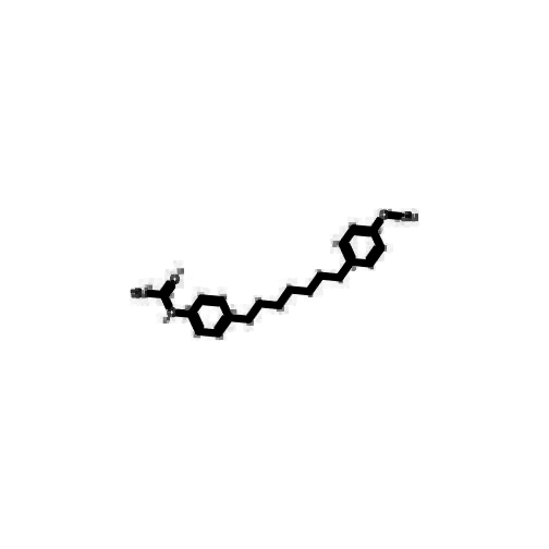 CC(C)(C)Oc1ccc(CCCCCCCc2ccc(OC(=O)C(C)(C)C)cc2)cc1